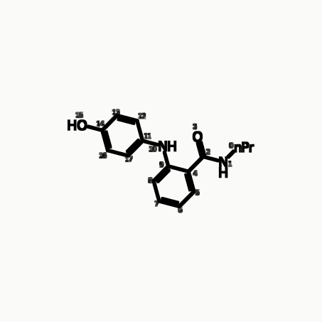 CCCNC(=O)c1ccccc1Nc1ccc(O)cc1